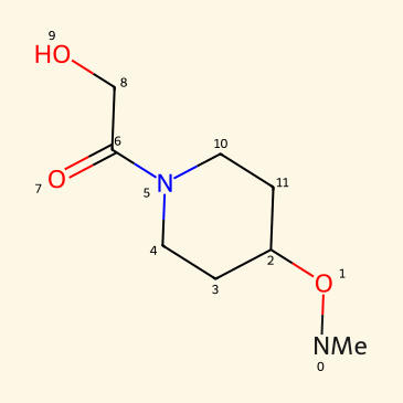 CNOC1CCN(C(=O)CO)CC1